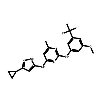 COc1cc(Nc2nc(C)cc(Nc3cc(C4CC4)n[nH]3)n2)cc(C(C)(F)F)c1